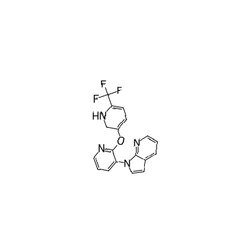 FC(F)(F)C1=CC=C(Oc2ncccc2-n2ccc3cccnc32)CN1